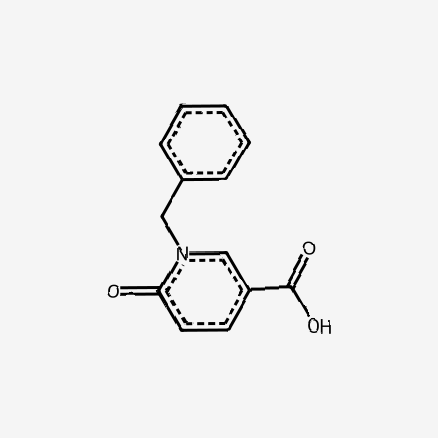 O=C(O)c1ccc(=O)n(Cc2ccccc2)c1